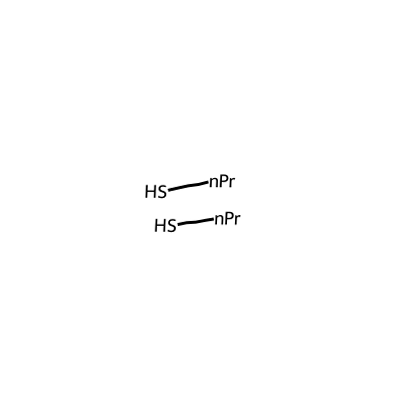 CCCS.CCCS